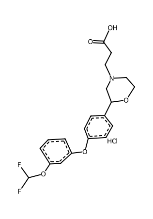 Cl.O=C(O)CCN1CCOC(c2ccc(Oc3cccc(OC(F)F)c3)cc2)C1